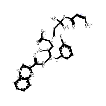 CC(C)(CC[C@H](C[C@H](O)[C@H](Cc1cccc(F)c1)NC(=O)c1cnc2ccccc2n1)C(N)=O)OC(=O)/C=C\C(=O)O